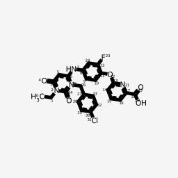 CCn1c(=O)cc(Nc2ccc(Oc3cccc(C(=O)O)n3)c(F)c2)n(Cc2ccc(Cl)cc2)c1=O